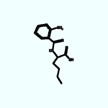 CCCCC(NC(=O)c1ccccc1N)C(=O)O